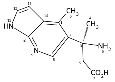 Cc1c([C@@](C)(N)CC(=O)O)cnc2[nH]ccc12